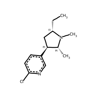 CC[C@H]1C[C@H](c2ccc(Cl)nc2)[C@@H](C)N1C